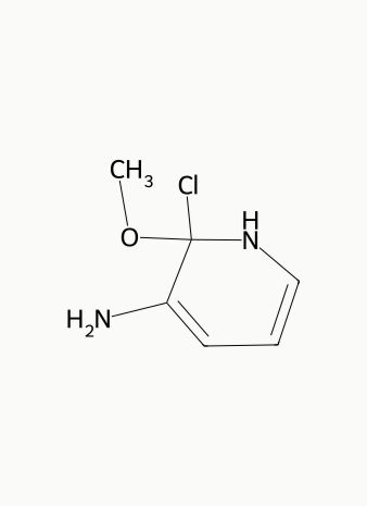 COC1(Cl)NC=CC=C1N